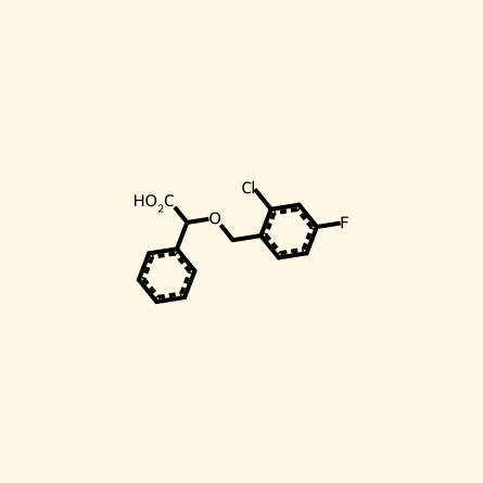 O=C(O)C(OCc1ccc(F)cc1Cl)c1ccccc1